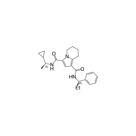 CC[C@@H](NC(=O)c1cc(C(=O)N[C@@H](C)C2CC2)n2c1CCCC2)c1ccccc1